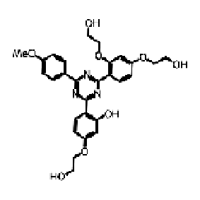 COc1ccc(-c2nc(-c3ccc(OCCO)cc3O)nc(-c3ccc(OCCO)cc3OCCO)n2)cc1